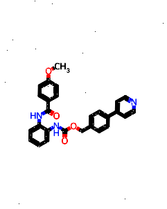 COc1ccc(C(=O)Nc2ccccc2NC(=O)OCc2ccc(-c3ccncc3)cc2)cc1